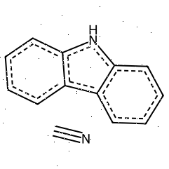 C#N.c1ccc2c(c1)[nH]c1ccccc12